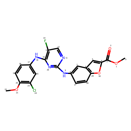 COC(=O)c1cc2cc(Nc3ncc(F)c(Nc4ccc(OC)c(Cl)c4)n3)ccc2o1